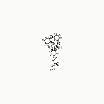 CCOC(=O)C=Cc1ccc(C(C)(C)C)c(NC(=O)CC2c3ccccc3Oc3ccccc32)c1